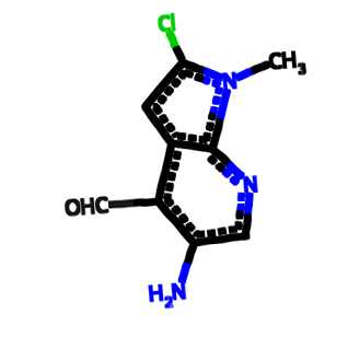 Cn1c(Cl)cc2c(C=O)c(N)cnc21